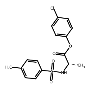 Cc1ccc(S(=O)(=O)N[C@@H](C)C(=O)Oc2ccc(Cl)cc2)cc1